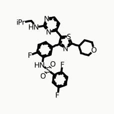 CC(C)CNc1nccc(-c2sc(C3CCOCC3)nc2-c2ccc(F)c(NS(=O)(=O)c3cc(F)ccc3F)c2)n1